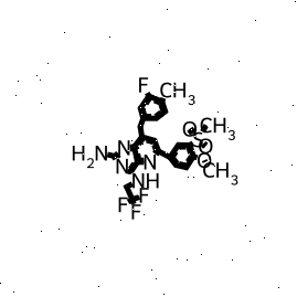 COc1ccc(-c2cc(Cc3ccc(C)c(F)c3)c3nc(N)nc(NCC(F)(F)F)c3n2)cc1S(C)(=O)=O